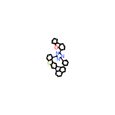 c1ccc(-c2nc(-c3cccc4c3oc3ccccc34)nc(-c3cccc4sc5cc6c(cc5c34)-c3cccc4cccc-6c34)n2)cc1